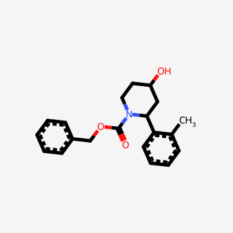 Cc1ccccc1C1CC(O)CCN1C(=O)OCc1ccccc1